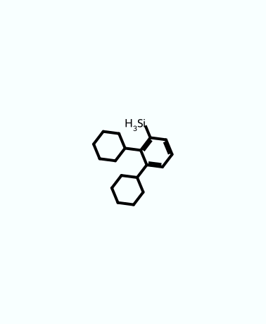 [SiH3]c1cccc(C2CCCCC2)c1C1CCCCC1